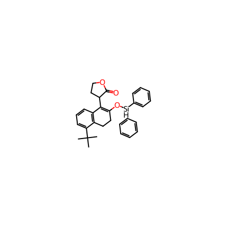 CC(C)(C)c1cccc2c1CCC(O[SiH](c1ccccc1)c1ccccc1)=C2C1CCOC1=O